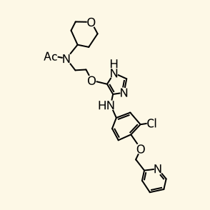 CC(=O)N(CCOc1[nH]cnc1Nc1ccc(OCc2ccccn2)c(Cl)c1)C1CCOCC1